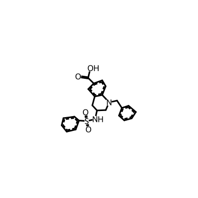 O=C(O)c1ccc2c(c1)CC(NS(=O)(=O)c1ccccc1)CN2Cc1ccccc1